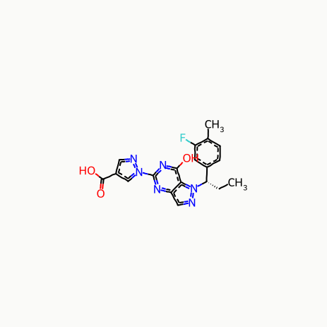 CC[C@@H](c1ccc(C)c(F)c1)n1ncc2nc(-n3cc(C(=O)O)cn3)nc(O)c21